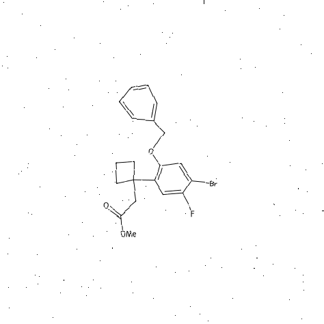 COC(=O)CC1(c2cc(F)c(Br)cc2OCc2ccccc2)CCC1